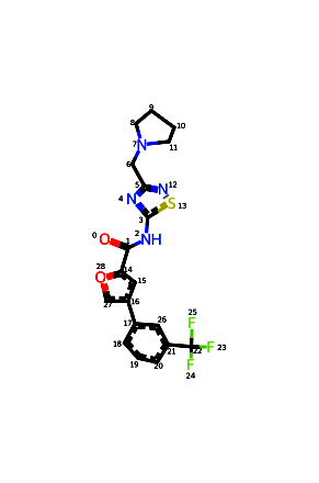 O=C(Nc1nc(CN2CCCC2)ns1)c1cc(-c2cccc(C(F)(F)F)c2)co1